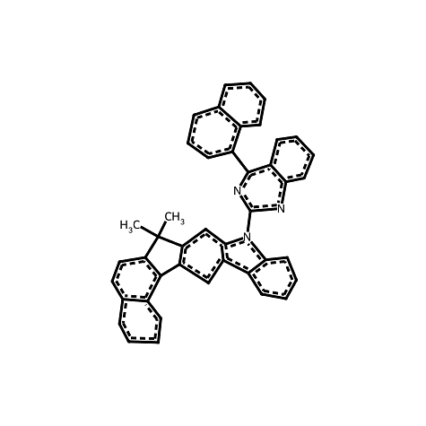 CC1(C)c2cc3c(cc2-c2c1ccc1ccccc21)c1ccccc1n3-c1nc(-c2cccc3ccccc23)c2ccccc2n1